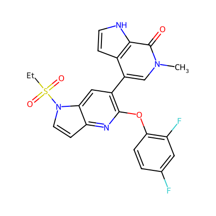 CCS(=O)(=O)n1ccc2nc(Oc3ccc(F)cc3F)c(-c3cn(C)c(=O)c4[nH]ccc34)cc21